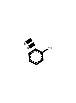 C#N.C#N.N#Cc1ccccc1